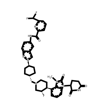 Cn1c(=O)n(C2CCC(=O)NC2=O)c2cccc([C@@H]3CCN(C[C@H]4CC[C@H](n5cc6cc(NC(=O)c7cccc(C(F)F)n7)ccc6n5)CC4)C[C@H]3F)c21